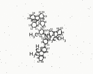 Cc1cc(-c2cccc3c2-c2ccccc2C32c3ccccc3-c3ccccc32)cc(N(c2ccc(-c3ccc4c(c3)C(C)(C)c3ccccc3-4)cc2)c2ccc3c(c2)C(C)(C)c2ccccc2-3)c1